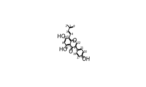 C=C(C)C=Cc1c(O)cc(O)c2c(=O)c(-c3ccc(O)cc3)coc12